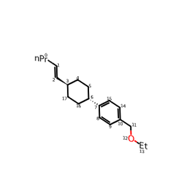 CCCC=C[C@H]1CC[C@H](c2ccc(COCC)cc2)CC1